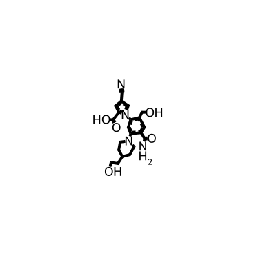 N#Cc1cc(C(=O)O)n(-c2cc(N3CCC(CCO)CC3)c(C(N)=O)cc2CO)c1